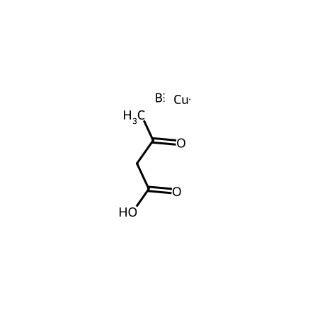 CC(=O)CC(=O)O.[B].[Cu]